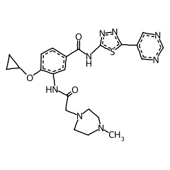 CN1CCN(CC(=O)Nc2cc(C(=O)Nc3nnc(-c4cncnc4)s3)ccc2OC2CC2)CC1